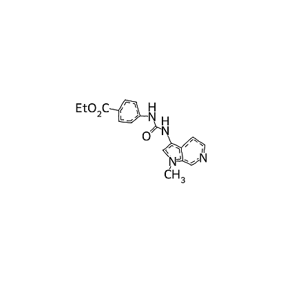 CCOC(=O)c1ccc(NC(=O)Nc2cn(C)c3cnccc23)cc1